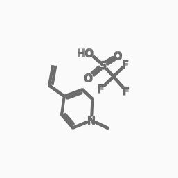 C=CC1=CCN(C)C=C1.O=S(=O)(O)C(F)(F)F